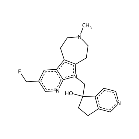 CN1CCc2c(n(CC3(O)CCc4cnccc43)c3ncc(CF)cc23)CC1